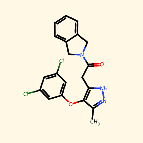 Cc1n[nH]c(CC(=O)N2Cc3ccccc3C2)c1Oc1cc(Cl)cc(Cl)c1